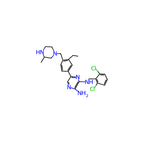 CCc1cc(-c2cnc(N)c(NCc3c(Cl)cccc3Cl)n2)ccc1CN1CCNC(C)C1